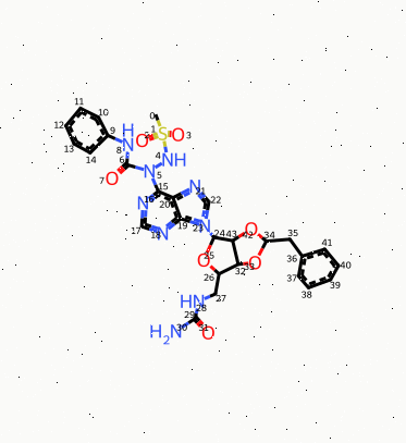 CS(=O)(=O)NN(C(=O)Nc1ccccc1)c1ncnc2c1ncn2C1OC(CNC(N)=O)C2OC(Cc3ccccc3)OC21